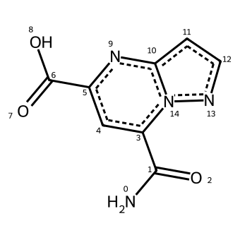 NC(=O)c1cc(C(=O)O)nc2ccnn12